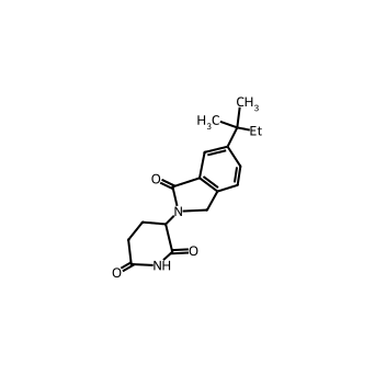 CCC(C)(C)c1ccc2c(c1)C(=O)N(C1CCC(=O)NC1=O)C2